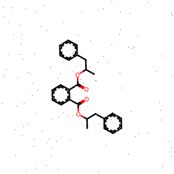 CC(Cc1ccccc1)OC(=O)c1ccccc1C(=O)OC(C)Cc1ccccc1